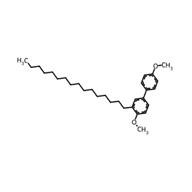 CCCCCCCCCCCCCCCCc1cc(-c2ccc(OC)cc2)ccc1OC